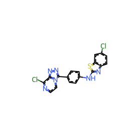 Clc1ccc2nc(Nc3ccc(-c4nnc5c(Cl)nccn45)cc3)sc2c1